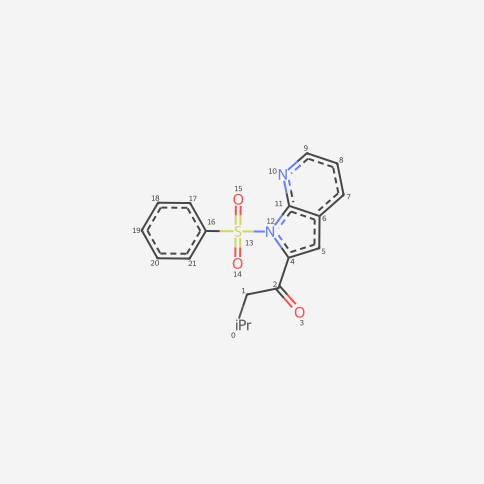 CC(C)CC(=O)c1cc2cccnc2n1S(=O)(=O)c1ccccc1